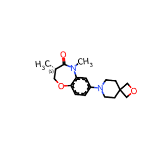 C[C@H]1COc2ccc(N3CCC4(CC3)COC4)cc2N(C)C1=O